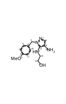 COc1ccc(Cn2ncc(N)c2NCCO)cc1